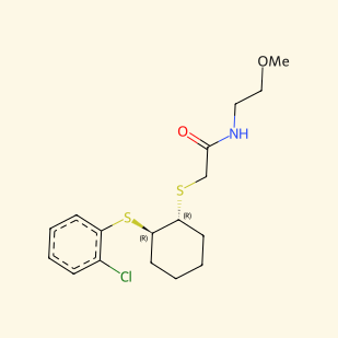 COCCNC(=O)CS[C@@H]1CCCC[C@H]1Sc1ccccc1Cl